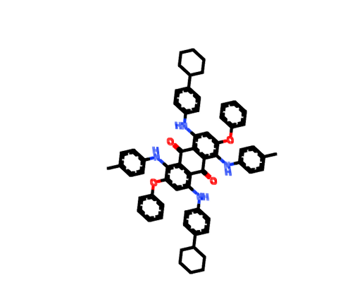 Cc1ccc(Nc2c(Oc3ccccc3)cc(Nc3ccc(C4CCCCC4)cc3)c3c2C(=O)c2c(Nc4ccc(C5CCCCC5)cc4)cc(Oc4ccccc4)c(Nc4ccc(C)cc4)c2C3=O)cc1